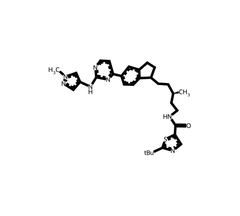 C[C@@H](CCNC(=O)c1cnc(C(C)(C)C)s1)CCC1CCc2cc(-c3ccnc(Nc4cnn(C)c4)n3)ccc21